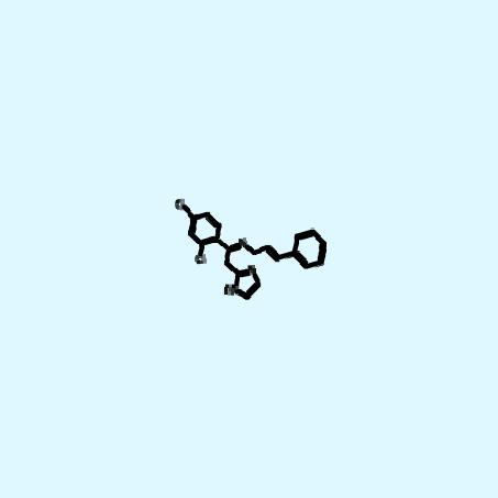 Clc1ccc(C(Cc2ncc[nH]2)=NCC=Cc2ccccc2)c(Cl)c1